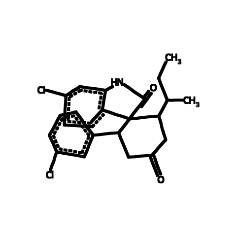 CCC(C)C1CC(=O)CC(c2cccc(Cl)c2)C12C(=O)Nc1cc(Cl)ccc12